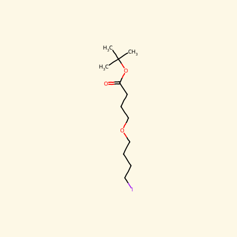 CC(C)(C)OC(=O)CCCOCCCCI